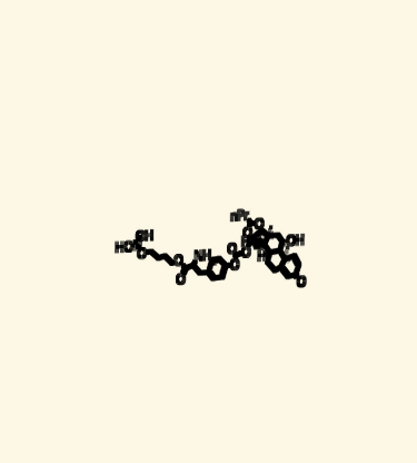 CCCC1O[C@@H]2CC3[C@@H]4CCC5=CC(=O)C=C[C@]5(C)C4[C@@H](O)C[C@]3(C)[C@]2(C(=O)COC(=O)Oc2ccc(CC(N)C(=O)OCCCCON(O)O)cc2)O1